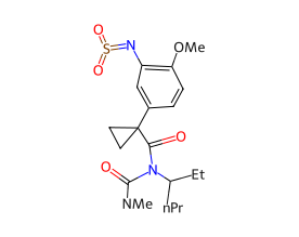 CCCC(CC)N(C(=O)NC)C(=O)C1(c2ccc(OC)c(N=S(=O)=O)c2)CC1